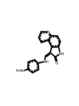 CC(=O)Nc1ccc(N/C=C2\C(=O)Nc3ccc4ncccc4c32)cc1